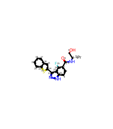 CC(C)[C@@H](CO)NC(=O)c1ccc2[nH]nc(-c3cc4ccccc4s3)c2c1F